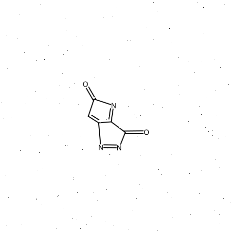 O=c1cc2nnc(=O)c-2n1